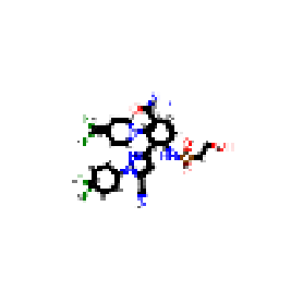 N#Cc1cc(-c2c(NS(=O)(=O)CCO)ccc(C(N)=O)c2N2CCC(=C(F)F)CC2)nn1C1CCC(F)(F)CC1